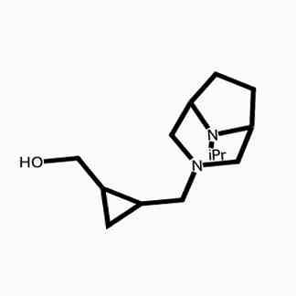 CC(C)N1C2CCC1CN(CC1CC1CO)C2